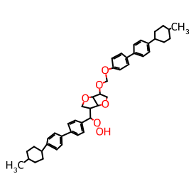 CC1CCC(c2ccc(-c3ccc(OCOC4COC5C(C(OO)c6ccc(-c7ccc(C8CCC(C)CC8)cc7)cc6)COC45)cc3)cc2)CC1